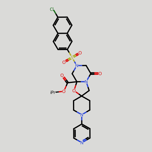 CC(C)OC(=O)C12CN(S(=O)(=O)c3ccc4cc(Cl)ccc4c3)CC(=O)N1CC1(CCN(c3ccncc3)CC1)O2